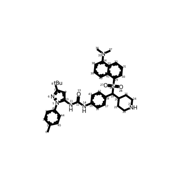 Cc1ccc(-n2nc(C(C)(C)C)cc2NC(=O)Nc2ccc(C(C3CCNCC3)S(=O)(=O)c3cccc4c(N(C)C)cccc34)cc2)cc1